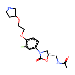 CC(=O)NC[C@H]1CN(c2ccc(OCCOC3CCNC3)c(F)c2)C(=O)O1